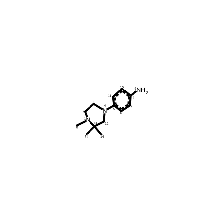 CN1CCN(c2ccc(N)cc2)CC1(C)C